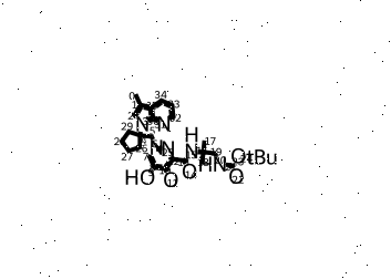 Cc1cn(C2(Cn3cc(O)c(=O)c(C(=O)NC(C)(C)CNC(=O)OC(C)(C)C)n3)CCCC2)c2ncccc12